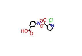 O=C(O)c1cccc(N2OOC(c3cccnc3Cl)O2)c1